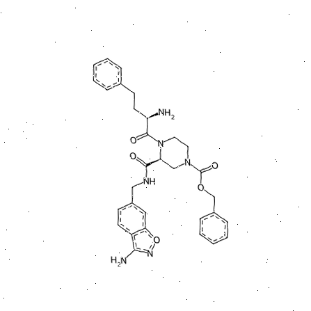 Nc1noc2cc(CNC(=O)[C@@H]3CN(C(=O)OCc4ccccc4)CCN3C(=O)[C@H](N)CCc3ccccc3)ccc12